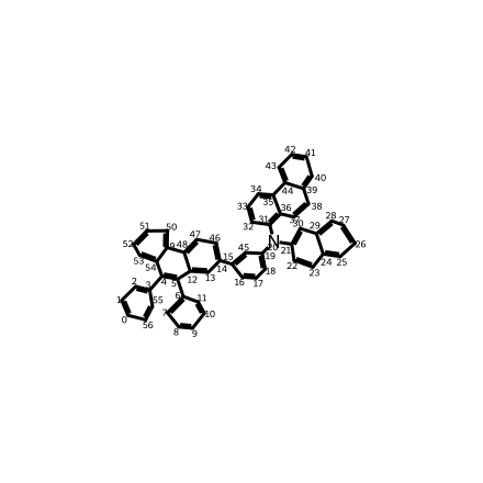 c1ccc(-c2c(-c3ccccc3)c3cc(-c4cccc(N(c5ccc6ccccc6c5)c5cccc6c5ccc5ccccc56)c4)ccc3c3ccccc23)cc1